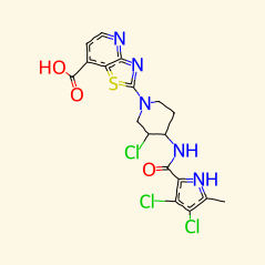 Cc1[nH]c(C(=O)NC2CCN(c3nc4nccc(C(=O)O)c4s3)CC2Cl)c(Cl)c1Cl